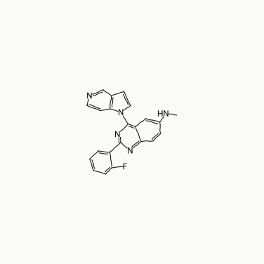 CNc1ccc2nc(-c3ccccc3F)nc(-n3ccc4cnccc43)c2c1